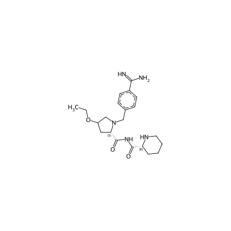 CCOC1C[C@@H](C(=O)NC(=O)[C@H]2CCCCN2)N(Cc2ccc(C(=N)N)cc2)C1